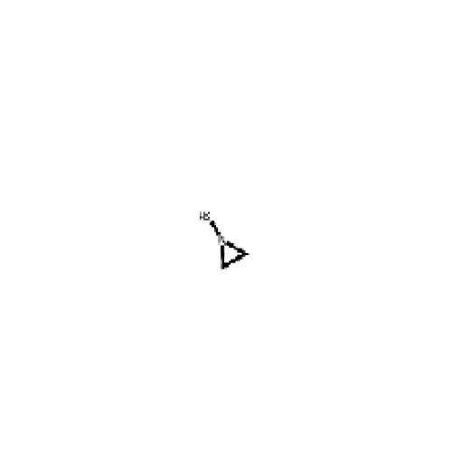 SN1CC1